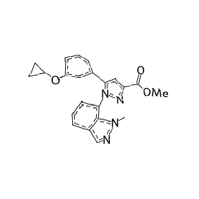 COC(=O)c1cc(-c2cccc(OC3CC3)c2)n(-c2cccc3cnn(C)c23)n1